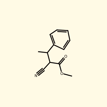 COC(=O)C(C#N)C(C)c1ccccc1